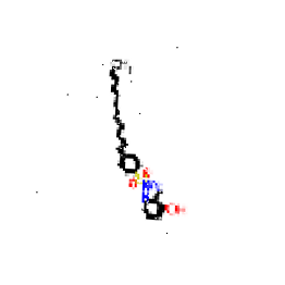 CCCCCCCCCCCCc1ccc(S(=O)(=O)N/N=C\c2ccccc2O)cc1